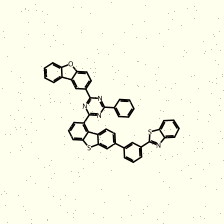 c1ccc(-c2nc(-c3ccc4oc5ccccc5c4c3)nc(-c3cccc4sc5cc(-c6cccc(-c7nc8ccccc8s7)c6)ccc5c34)n2)cc1